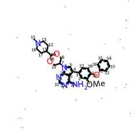 COc1cc(-c2cn(C3COC(C4CCN(C)CC4)OC3)c3ncnc(N)c23)ccc1Oc1ccccc1